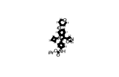 CC(C)OC(=O)Nc1ccc(C2C(c3cnco3)c3ccc(OC4CCOCC4)cc3N2C2CCC2)cc1